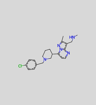 CNCc1c(C)nn2c(C3CCCN(Cc4ccc(Cl)cc4)C3)ccnc12